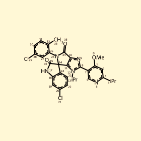 COc1cc(C(C)C)ncc1-c1nc2c(n1C(C)C)C1(C(=O)Nc3cc(Cl)ccc31)N(c1cc(Cl)ccc1C)C2=O